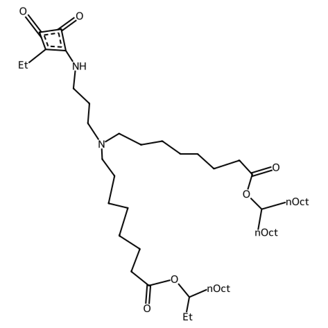 CCCCCCCCC(CC)OC(=O)CCCCCCCN(CCCCCCCC(=O)OC(CCCCCCCC)CCCCCCCC)CCCNc1c(CC)c(=O)c1=O